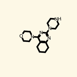 C1CCc2c(nc(N3CCNCC3)nc2N2CCOCC2)C1